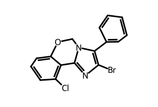 Clc1cccc2c1-c1nc(Br)c(-c3ccccc3)n1CO2